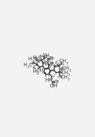 CCC1(C)CC(c2ccc(CNC(=O)O)c(C3CC(C)(CC)N(C)C(C)(CC)C3C)c2CNC(=O)O)C(C)C(C)(CC)N1C